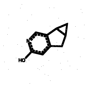 Oc1cc2c(cn1)C1CC1C2